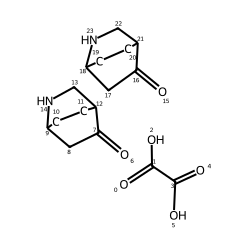 O=C(O)C(=O)O.O=C1CC2CCC1CN2.O=C1CC2CCC1CN2